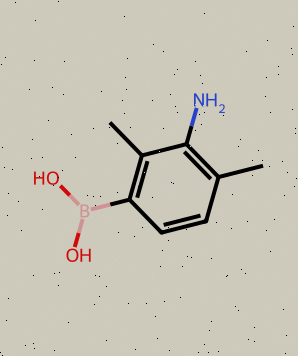 Cc1ccc(B(O)O)c(C)c1N